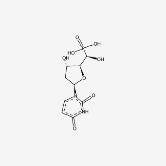 O=c1ccn([C@H]2C[C@H](O)[C@@H]([C@H](O)P(=O)(O)O)O2)c(=O)[nH]1